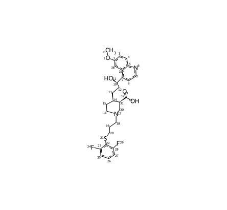 COc1ccc2nccc([C@H](O)CC[C@@H]3CCN(CCCSc4c(F)cccc4F)C[C@@H]3C(=O)O)c2c1